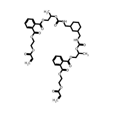 C=CC(=O)OCCOC(=O)c1ccccc1C(=O)OCC(C)OC(=O)NCC1CCCC(CNC(=O)OC(C)COC(=O)c2ccccc2C(=O)OCCOC(=O)C=C)C1